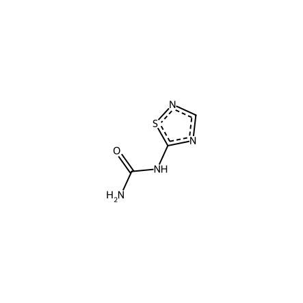 NC(=O)Nc1ncns1